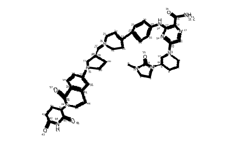 CN1CCN([C@@H]2CCCN(c3cnc(C(N)=O)c(Nc4ccc(C5CCN(C[C@H]6CCN(c7ccc8c(=O)n(C9CCC(=O)NC9=O)ccc8c7)C6)CC5)cc4)n3)C2)C1=O